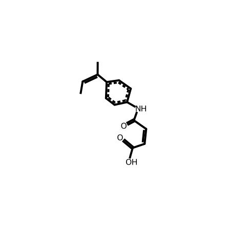 C/C=C(/C)c1ccc(NC(=O)/C=C\C(=O)O)cc1